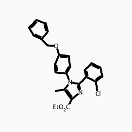 CCOC(=O)c1nc(-c2ccccc2Cl)n(-c2ccc(OCc3ccccc3)cc2)c1C